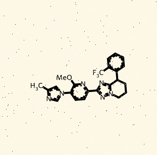 COc1nc(-c2nc3n(n2)CCCC3c2ccccc2C(F)(F)F)ccc1-n1cnc(C)c1